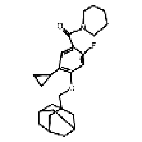 O=C(c1cc(C2CC2)c(OCC23CC4CC(CC(C4)C2)C3)cc1F)N1CCCCC1